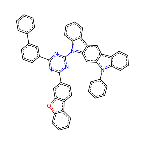 c1ccc(-c2cccc(-c3nc(-c4ccc5c(c4)oc4ccccc45)nc(-n4c5ccccc5c5cc6c7ccccc7n(-c7ccccc7)c6cc54)n3)c2)cc1